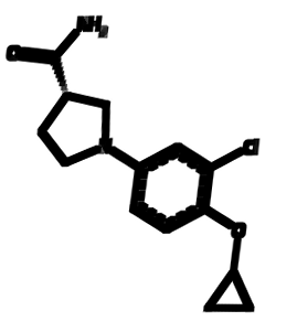 NC(=O)[C@H]1CCN(c2ccc(OC3CC3)c(Cl)c2)C1